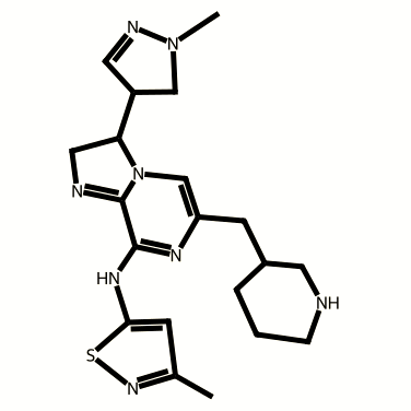 Cc1cc(NC2=NC(CC3CCCNC3)=CN3C2=NCC3C2C=NN(C)C2)sn1